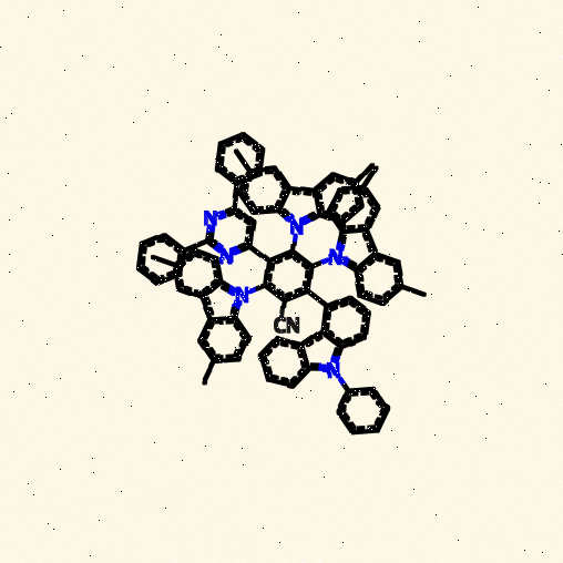 Cc1ccc2c(c1)c1cc(C)ccc1n2-c1c(C#N)c(-c2cccc3c2c2ccccc2n3-c2ccccc2)c(-n2c3ccc(C)cc3c3cc(C)ccc32)c(-n2c3ccc(C)cc3c3cc(C)ccc32)c1-c1cc(-c2ccccc2)nc(-c2ccccc2)n1